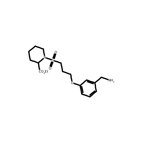 CCOC(=O)C1CCCCN1S(=O)(=O)CCCOc1cccc(CN)c1